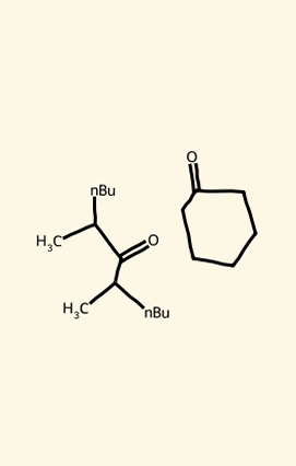 CCCCC(C)C(=O)C(C)CCCC.O=C1CCCCC1